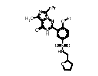 CCCc1nc(C)c2c(=O)[nH]c(-c3cc(S(=O)(=O)NCC4CCCO4)ccc3OCC)nn12